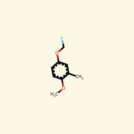 COc1ccc(OCF)cc1C